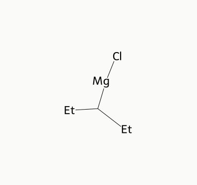 CC[CH](CC)[Mg][Cl]